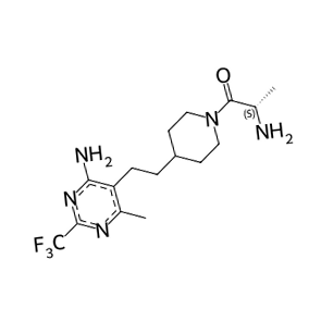 Cc1nc(C(F)(F)F)nc(N)c1CCC1CCN(C(=O)[C@H](C)N)CC1